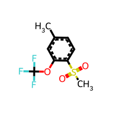 Cc1ccc(S(C)(=O)=O)c(OC(F)(F)F)c1